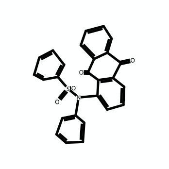 O=C1c2ccccc2C(=O)c2c1cccc2N(c1ccccc1)S(=O)(=O)c1ccccc1